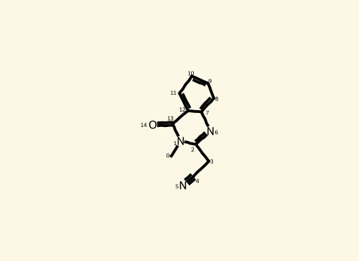 Cn1c(CC#N)nc2ccccc2c1=O